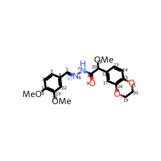 COc1ccc(/C=N/NC(=O)C(OC)c2ccc3c(c2)OCCO3)cc1OC